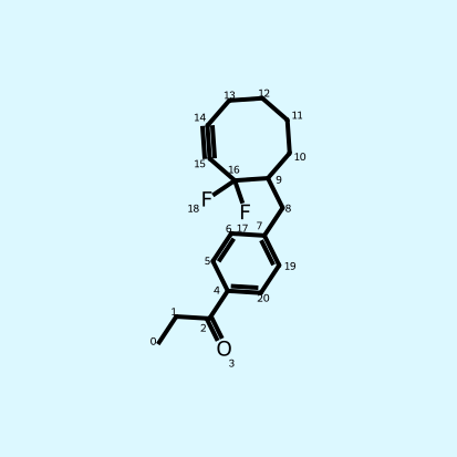 CCC(=O)c1ccc(CC2CCCCC#CC2(F)F)cc1